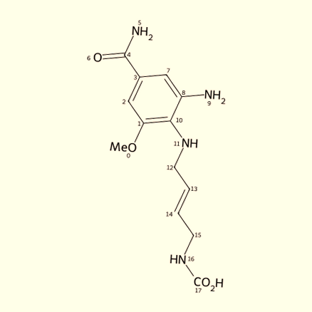 COc1cc(C(N)=O)cc(N)c1NCC=CCNC(=O)O